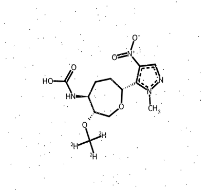 [2H]C([2H])([2H])O[C@H]1CO[C@@H](c2c([N+](=O)[O-])cnn2C)CC[C@@H]1NC(=O)O